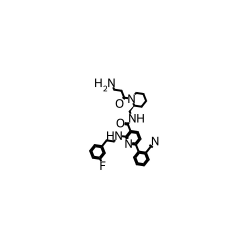 N#Cc1ccccc1-c1ccc(C(=O)NC[C@@H]2CCCCN2C(=O)CCN)c(NCCc2cccc(F)c2)n1